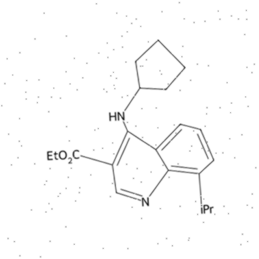 CCOC(=O)c1cnc2c(C(C)C)cccc2c1NC1CCCC1